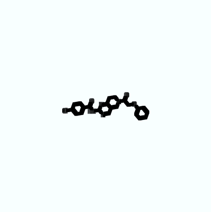 O=C(NC1N=CC2=CN(C(=O)COc3ccccc3)CCC2=N1)c1ccc(Cl)cc1